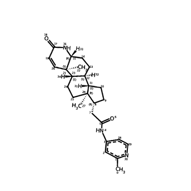 Cc1cc(NC(=O)C[C@H]2CC[C@H]3[C@@H]4CC[C@H]5NC(=O)C=C[C@]5(C)[C@H]4CC[C@]23C)ccn1